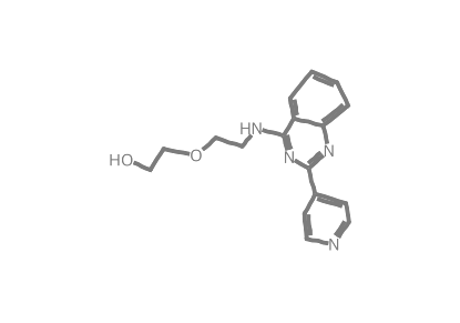 OCCOCCNc1nc(-c2ccncc2)nc2ccccc12